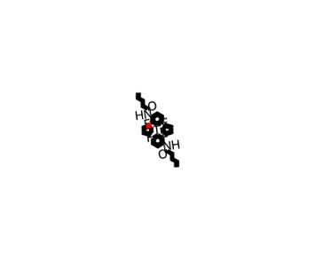 C=CCCC(=O)Nc1ccc(F)[c]([Ti]([c]2c(F)ccc(NC(=O)CCC=C)c2F)([CH]2C=CC=C2)[CH]2C=CC=C2)c1F